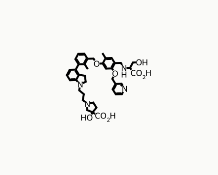 Cc1cc(CNC(CO)C(=O)O)c(OCc2cccnc2)cc1OCc1cccc(-c2cccc3c2CCN3CCCN2CCC(O)(C(=O)O)C2)c1C